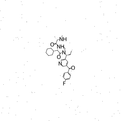 CC[C@@H](c1cncc(C(=O)c2ccc(F)cc2)c1)N(CC)C(=O)[C@@H](NC(=O)[C@H](C)NC)C1CCCCC1